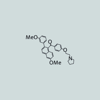 COc1cccc(-c2ccc3cc(OC)ccc3c2C(=O)c2ccc(OCCN3CCCC3)cc2)c1